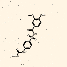 CNC(=O)Nc1ccc(S(=O)(=O)NC(=O)c2ccc(OC)c(OC)c2)cc1